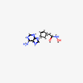 Nc1ncnc2c1ncn2[C@@H]1C=C[C@@H](CC(=O)NO)C1